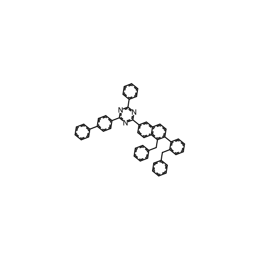 c1ccc(Cc2ccccc2-c2ccc3cc(-c4nc(-c5ccccc5)nc(-c5ccc(-c6ccccc6)cc5)n4)ccc3c2Cc2ccccc2)cc1